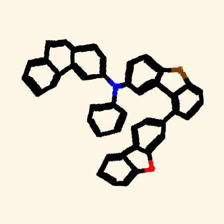 c1ccc(N(c2ccc3ccc4ccccc4c3c2)c2ccc3sc4cccc(-c5ccc6c(c5)oc5ccccc56)c4c3c2)cc1